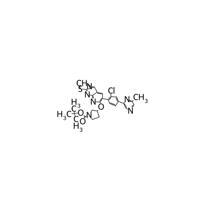 CSc1ncc2cc(-c3ccc(-c4cncc(C)n4)cc3Cl)c(OC3CCN(C(=O)OC(C)(C)C)C3)nc2n1